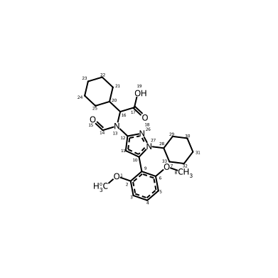 COc1cccc(OC)c1-c1cc(N(C=O)C(C(=O)O)C2CCCCC2)nn1C1CCCCC1